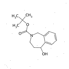 CC(C)(C)OC(=O)N1CCC(O)c2ccccc2C1